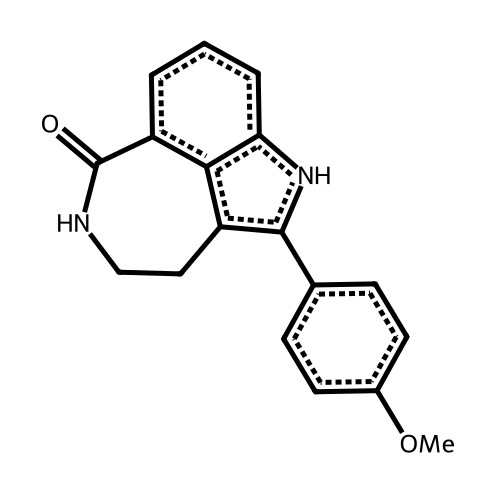 COc1ccc(-c2[nH]c3cccc4c3c2CCNC4=O)cc1